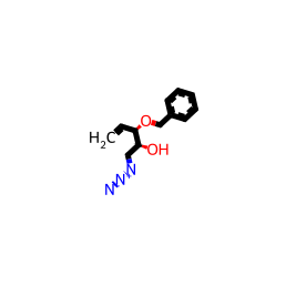 C=C[C@@H](OCc1ccccc1)[C@@H](O)CN=[N+]=[N-]